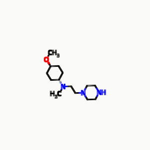 CO[C@H]1CC[C@H](N(C)CCN2CCNCC2)CC1